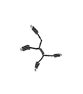 N#CCC(C#N)=C(C#N)C#N